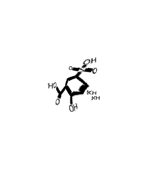 O=C(O)c1cc(S(=O)(=O)O)ccc1O.[KH].[KH]